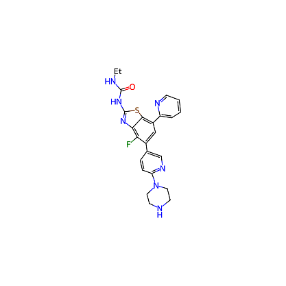 CCNC(=O)Nc1nc2c(F)c(-c3ccc(N4CCNCC4)nc3)cc(-c3ccccn3)c2s1